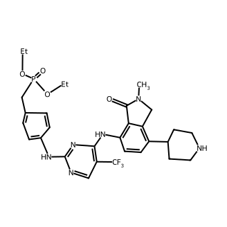 CCOP(=O)(Cc1ccc(Nc2ncc(C(F)(F)F)c(Nc3ccc(C4CCNCC4)c4c3C(=O)N(C)C4)n2)cc1)OCC